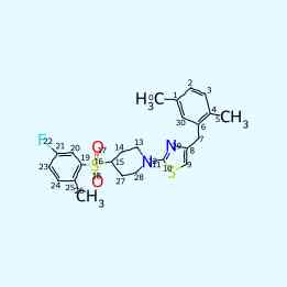 Cc1ccc(C)c(Cc2csc(N3CCC(S(=O)(=O)c4cc(F)ccc4C)CC3)n2)c1